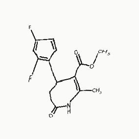 COC(=O)C1=C(C)NC(=O)CC1c1ccc(F)cc1F